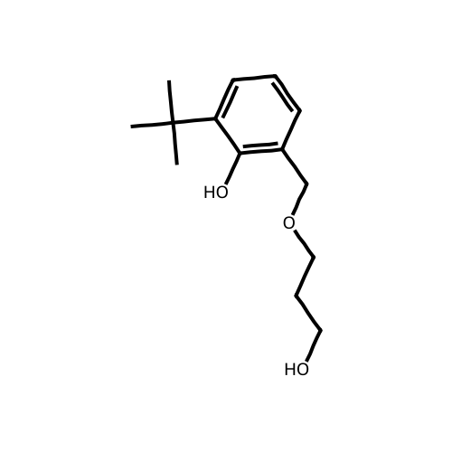 CC(C)(C)c1cccc(COCCCO)c1O